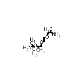 CC(N)COCCOCC(C)OC(C)(C)N